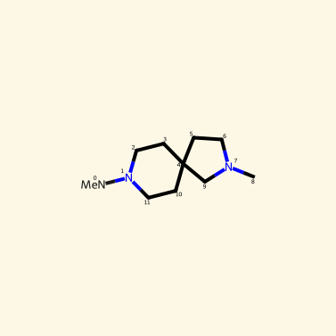 CNN1CCC2(CCN(C)C2)CC1